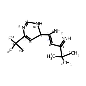 CC(C)(C)C(=N)/C=C(\N)C1C=C(C(F)(F)F)N=CN1